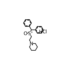 Cl.[O-][S+](CCN1CCCCC1)C(c1ccccc1)c1ccccc1